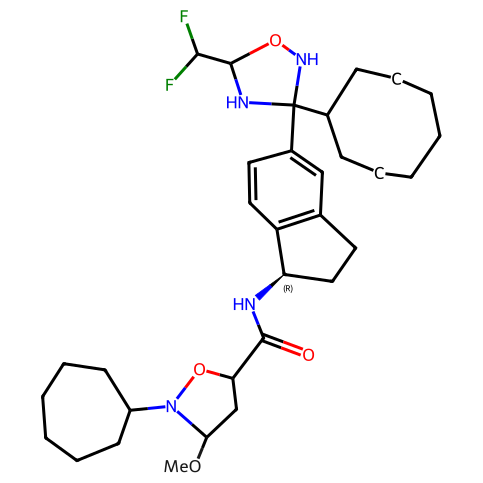 COC1CC(C(=O)N[C@@H]2CCc3cc(C4(C5CCCCCCC5)NOC(C(F)F)N4)ccc32)ON1C1CCCCCC1